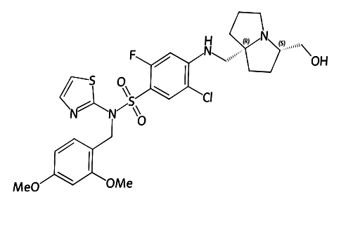 COc1ccc(CN(c2nccs2)S(=O)(=O)c2cc(Cl)c(NC[C@]34CCCN3[C@H](CO)CC4)cc2F)c(OC)c1